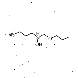 CCCOC[SiH](O)CCCS